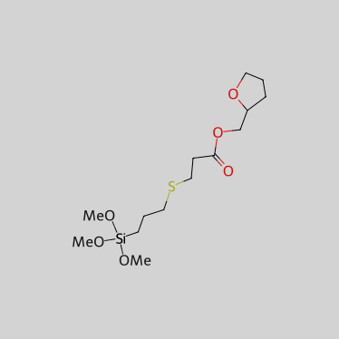 CO[Si](CCCSCCC(=O)OCC1CCCO1)(OC)OC